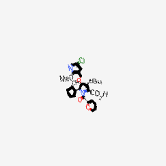 COc1ncc(Cl)cc1CO[C@H]1[C@H](C(C)(C)C)[C@@H](C(=O)O)N(C(=O)[C@@H]2CCCCO2)[C@H]1c1ccccc1C